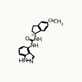 COc1ccc2c(c1)CC[C@@H]2NC(=O)Nc1cccc2[nH]ncc12